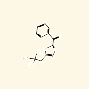 CC(C)(N)Cc1cnc(C(=O)c2ccccc2)o1